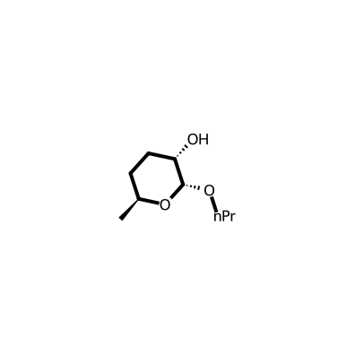 CCCO[C@@H]1O[C@@H](C)CC[C@@H]1O